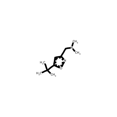 CN(C)Cc1cc(C(C)(C)C)on1